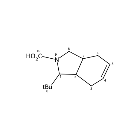 CC(C)(C)C1C2CC=CCC2CN1C(=O)O